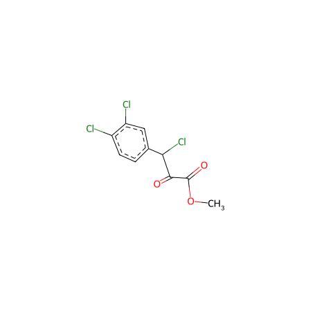 COC(=O)C(=O)C(Cl)c1ccc(Cl)c(Cl)c1